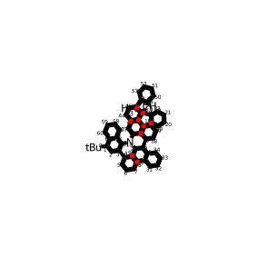 CC(C)(C)c1cc(-c2ccccc2)c(N(c2ccc3c(c2)-c2ccccc2C3(C)C)c2ccc3ccccc3c2-c2cccc(-c3cccc4c3oc3ccccc34)c2)c2ccccc12